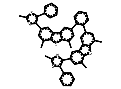 Cc1nc(-c2cc(C)c3sc4c(C)cc(-c5ccccc5-c5cc(C)c6sc7c(C)cc(-c8nc(C)sc8-c8ccccc8)cc7c6c5)cc4c3c2)c(-c2ccccc2)s1